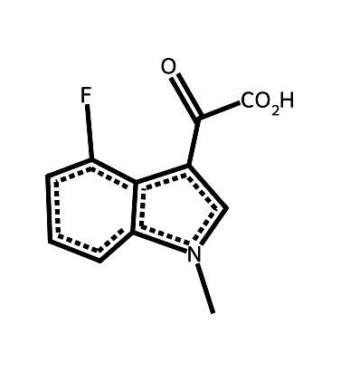 Cn1cc(C(=O)C(=O)O)c2c(F)cccc21